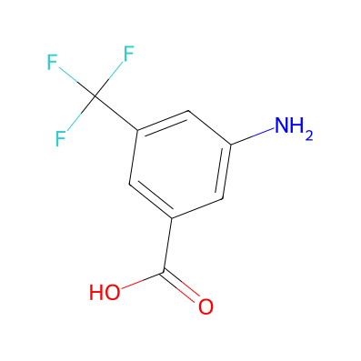 Nc1cc(C(=O)O)cc(C(F)(F)F)c1